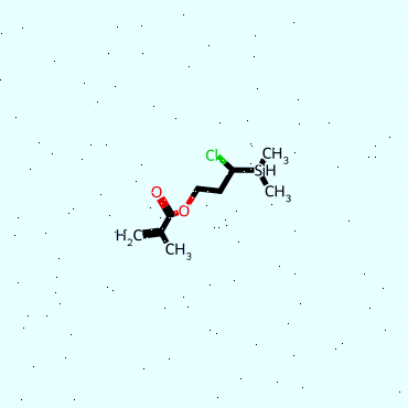 C=C(C)C(=O)OCCC(Cl)[SiH](C)C